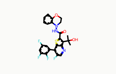 CC(C)(O)c1c(C(=O)NN2CCOc3ccccc32)sc2c(-c3cc(F)cc(F)c3F)c(F)cnc12